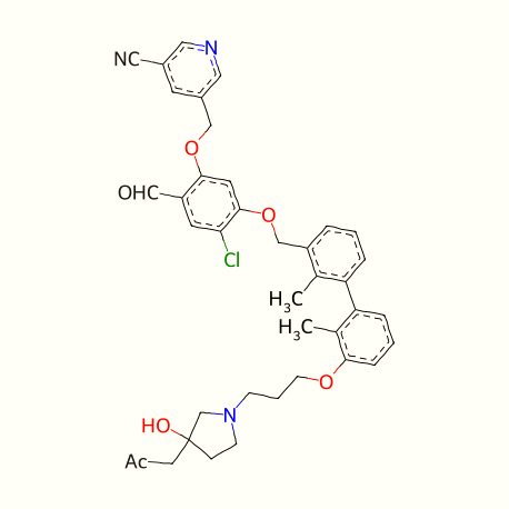 CC(=O)CC1(O)CCN(CCCOc2cccc(-c3cccc(COc4cc(OCc5cncc(C#N)c5)c(C=O)cc4Cl)c3C)c2C)C1